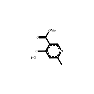 COC(=O)c1cnc(C)cc1Cl.Cl